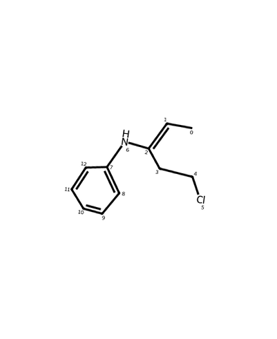 C/C=C(\CCCl)Nc1ccccc1